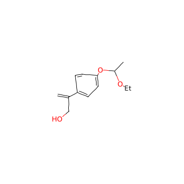 C=C(CO)c1ccc(OC(C)OCC)cc1